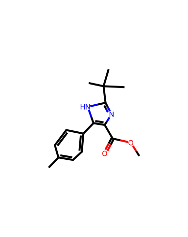 COC(=O)c1nc(C(C)(C)C)[nH]c1-c1ccc(C)cc1